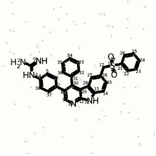 N=C(N)Nc1ccc(-c2cnc3[nH]c4ccc(CS(=O)(=O)c5ccccc5)cc4c3c2-c2ccccc2)cc1